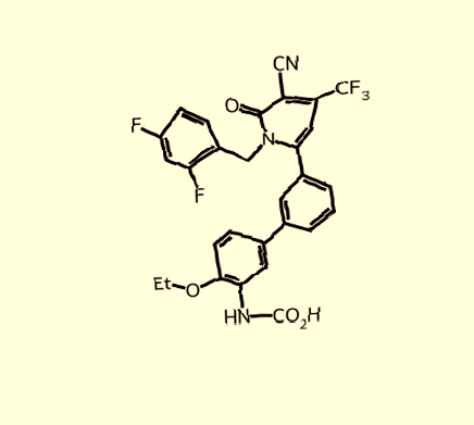 CCOc1ccc(-c2cccc(-c3cc(C(F)(F)F)c(C#N)c(=O)n3Cc3ccc(F)cc3F)c2)cc1NC(=O)O